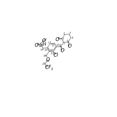 O=C1CCCC(=O)C1C(=O)c1ccc(C[SH](=O)=O)c(COCC(F)(F)F)c1Cl